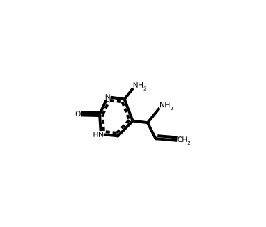 C=CC(N)c1c[nH]c(=O)nc1N